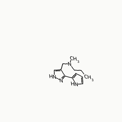 CCCN(C)Cc1c[nH]nc1-c1ccc[nH]1